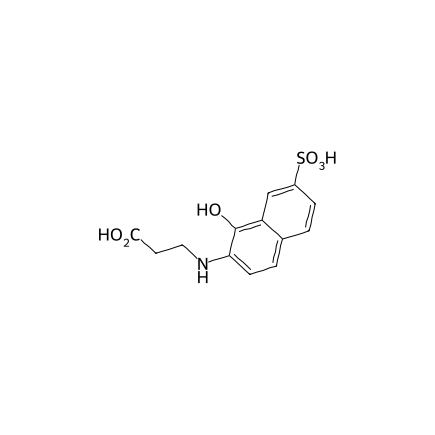 O=C(O)CCNc1ccc2ccc(S(=O)(=O)O)cc2c1O